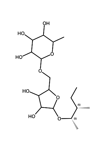 CC[C@H](C)[C@H](C)OC1OC(COC2OC(C)C(O)C(O)C2O)C(O)C1O